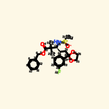 CCC(CC)(C(=O)OCc1ccccc1)[C@@H](CCC1(c2cccc(F)c2)OCCO1)N[S@+]([O-])C(C)(C)C